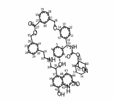 O=C(N[C@@H](c1ccccc1)c1cccc(OCc2cccc(C(=O)OCc3cccc(CCNCC(O)c4ccc(O)c5[nH]c(=O)ccc45)c3)c2)c1)OC1CN2CCC1CC2